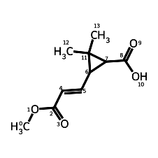 COC(=O)/C=C/C1C(C(=O)O)C1(C)C